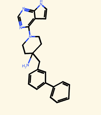 NC1(Cc2cccc(-c3ccccc3)c2)CCN(c2ncnc3[nH]ccc23)CC1